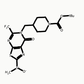 C[S+]([O-])c1nc2c(=O)n(CC3CCN(C(=O)OC(C)(C)C)CC3)c(C(F)(F)F)nc2s1